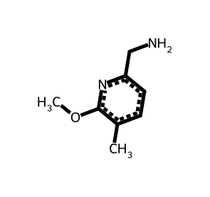 COc1nc(CN)ccc1C